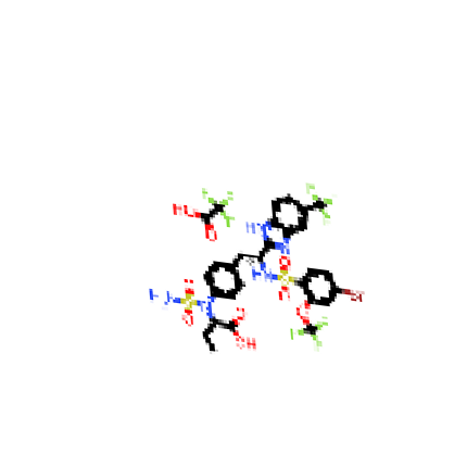 CCC(C(=O)O)N(c1ccc(C[C@H](NS(=O)(=O)c2ccc(Br)cc2OC(F)(F)F)c2nc3cc(C(F)(F)F)ccc3[nH]2)cc1)S(N)(=O)=O.O=C(O)C(F)(F)F